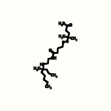 BC(=O)CCC(C)(C)SSCCCC(=O)NCCPC(C)(CCC)CCCCC